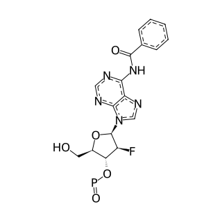 O=PO[C@H]1[C@H](F)[C@H](n2cnc3c(NC(=O)c4ccccc4)ncnc32)O[C@@H]1CO